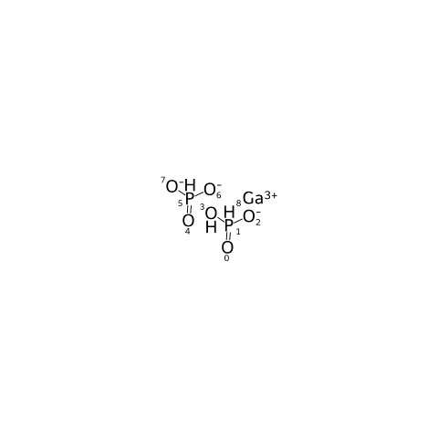 O=[PH]([O-])O.O=[PH]([O-])[O-].[Ga+3]